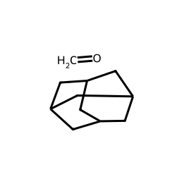 C1C2CC3CC1CC(C2)C3.C=O